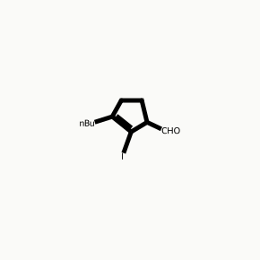 CCCCC1=C(I)C(C=O)CC1